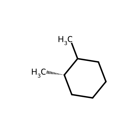 CC1CCCC[C@@H]1C